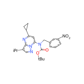 CC(C)c1cnn2c(N(Cc3cccc([N+](=O)[O-])c3)C(=O)OC(C)(C)C)cc(C3CC3)nc12